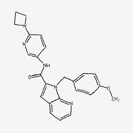 COc1ccc(Cn2c(C(=O)Nc3ccc(N4CCC4)nc3)cc3cccnc32)cc1